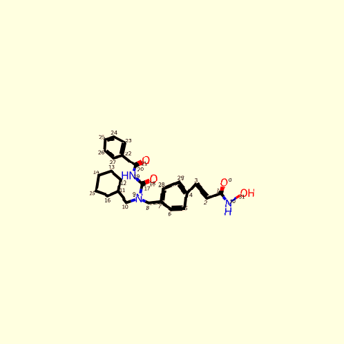 O=C(/C=C/c1ccc(CN(CC2CCCCC2)C(=O)NC(=O)c2ccccc2)cc1)NO